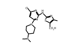 Cc1nc(Nc2nc(Cl)cc(N3CCC(N(C)C)CC3)n2)sc1C(=O)O